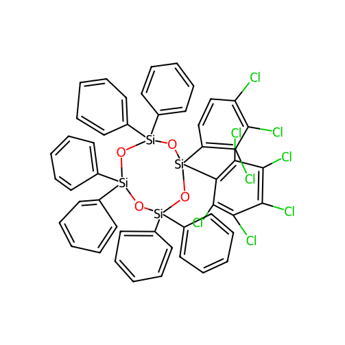 Clc1ccc([Si]2(c3c(Cl)c(Cl)c(Cl)c(Cl)c3Cl)O[Si](c3ccccc3)(c3ccccc3)O[Si](c3ccccc3)(c3ccccc3)O[Si](c3ccccc3)(c3ccccc3)O2)c(Cl)c1Cl